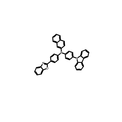 c1ccc2cc(N(c3ccc(-c4nc5ccccc5o4)cc3)c3ccc(-n4c5ccccc5c5ccccc54)cc3)ccc2c1